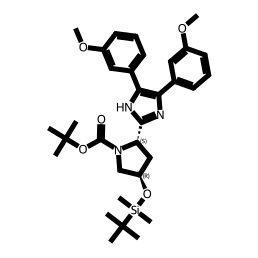 COc1cccc(-c2nc([C@@H]3C[C@@H](O[Si](C)(C)C(C)(C)C)CN3C(=O)OC(C)(C)C)[nH]c2-c2cccc(OC)c2)c1